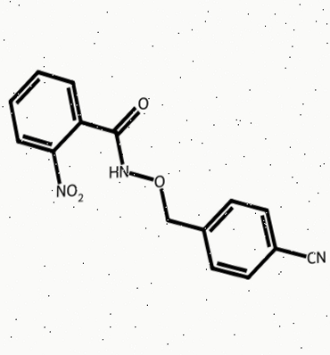 N#Cc1ccc(CONC(=O)c2ccccc2[N+](=O)[O-])cc1